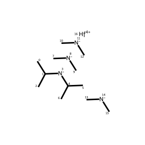 CC(C)[N-]C(C)C.C[N-]C.C[N-]C.C[N-]C.[Hf+4]